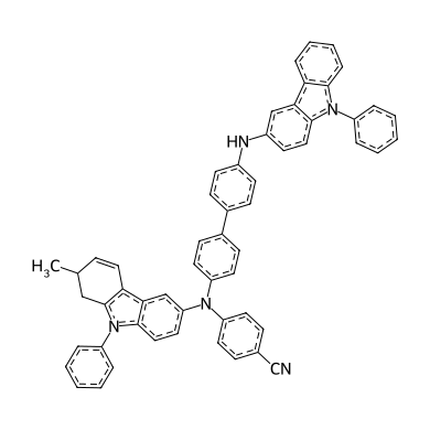 CC1C=Cc2c(n(-c3ccccc3)c3ccc(N(c4ccc(C#N)cc4)c4ccc(-c5ccc(Nc6ccc7c(c6)c6ccccc6n7-c6ccccc6)cc5)cc4)cc23)C1